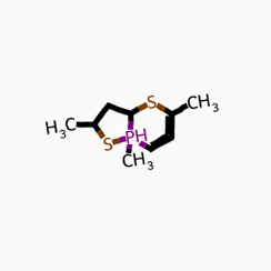 CC1=C=C[PH]2(C)SC(C)CC2S1